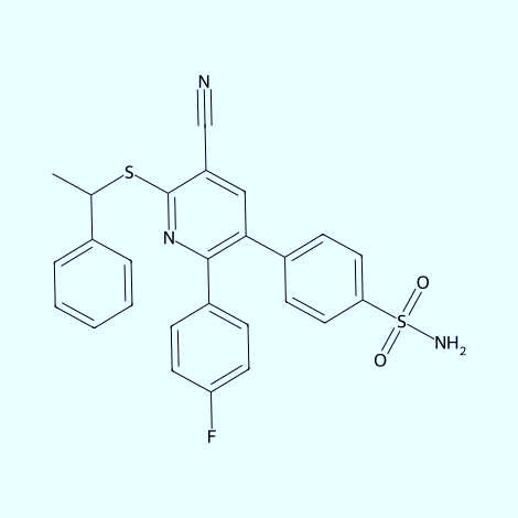 CC(Sc1nc(-c2ccc(F)cc2)c(-c2ccc(S(N)(=O)=O)cc2)cc1C#N)c1ccccc1